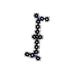 c1ccc(-c2ccc3c(c2)c2cc(-c4ccc(-c5ccc(-c6c7ccccc7c(-c7ccc(-c8ccc(-c9ccc%10c(c9)c9cc(-c%11ccccc%11)ccc9n%10-c9ccccc9)cc8)cc7)c7ccccc67)cc5)cc4)ccc2n3-c2ccccc2)cc1